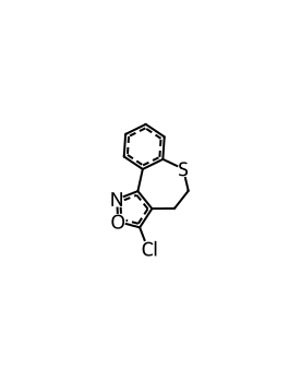 Clc1onc2c1CCSc1ccccc1-2